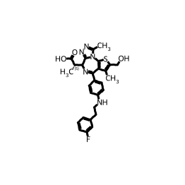 Cc1c(CO)sc2c1C(c1ccc(NCCc3cccc(F)c3)cc1)=NC([C@H](C)C(=O)O)c1nnc(C)n1-2